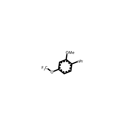 CCCc1ccc(OC(F)(F)F)cc1OC